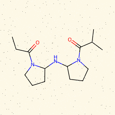 CCC(=O)N1CCCC1NC1CCCN1C(=O)C(C)C